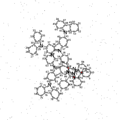 c1ccc(-c2nc(-c3ccccc3)nc(-c3ccc(-n4c5ccc(-n6c7ccccc7c7ccccc76)cc5c5cc(-n6c7ccccc7c7ccccc76)ccc54)c(-c4ncccc4-n4c5ccc(-n6c7ccccc7c7ccccc76)cc5c5cc(-n6c7ccccc7c7ccccc76)ccc54)c3)n2)cc1